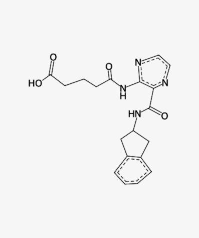 O=C(O)CCCC(=O)Nc1nccnc1C(=O)NC1Cc2ccccc2C1